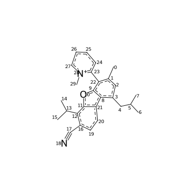 Cc1cc(CC(C)C)c2c(oc3c(C(C)C)c(C#N)ccc32)c1-c1cccc[n+]1C